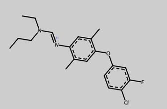 CCCN(/C=N/c1cc(C)c(Oc2ccc(Cl)c(F)c2)cc1C)CC